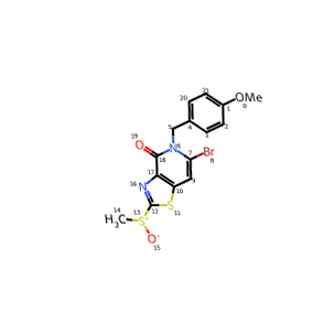 COc1ccc(Cn2c(Br)cc3sc([S+](C)[O-])nc3c2=O)cc1